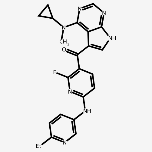 CCc1ccc(Nc2ccc(C(=O)c3c[nH]c4ncnc(N(C)C5CC5)c34)c(F)n2)cn1